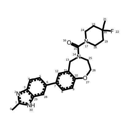 Cc1nc2ccc(-c3ccc4c(c3)CN(C(=O)N3CCC(C)(F)CC3)CCO4)cc2[nH]1